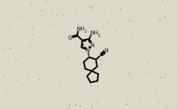 N#CC1CC2(CCCC2)CC[C@H]1n1cc(C(N)=O)c(N)n1